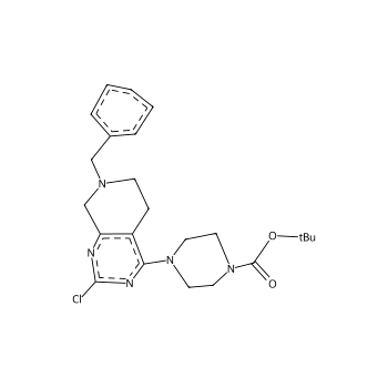 CC(C)(C)OC(=O)N1CCN(c2nc(Cl)nc3c2CCN(Cc2ccccc2)C3)CC1